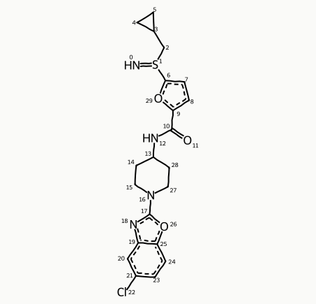 N=S(CC1CC1)c1ccc(C(=O)NC2CCN(c3nc4cc(Cl)ccc4o3)CC2)o1